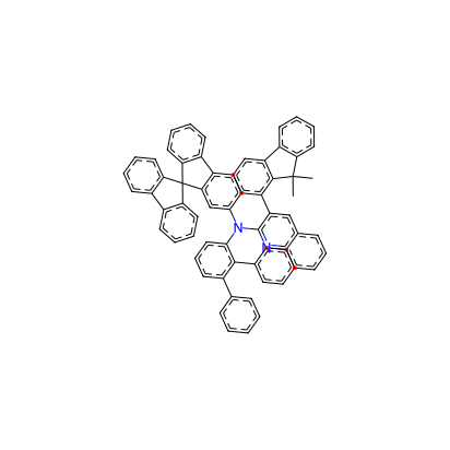 CC1(C)c2ccccc2-c2cccc(-c3cc4ccccc4nc3N(c3ccc4c(c3)C3(c5ccccc5-c5ccccc53)c3ccccc3-4)c3cccc(-c4ccccc4)c3-c3ccccc3)c21